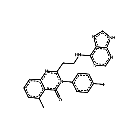 Cc1cccc2nc(CCNc3ncnc4[nH]cnc34)n(-c3ccc(F)cc3)c(=O)c12